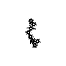 Cc1cc(-c2cccc3c2sc2ccccc23)c(C)cc1-c1cccc(-c2ccc(-c3cnc4c5ccccc5c5ccccc5c4n3)cc2)c1